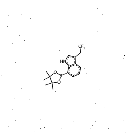 CC1(C)OB(c2cccc3c(CC(F)(F)F)c[nH]c23)OC1(C)C